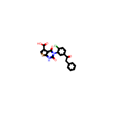 O=C(Cc1ccccc1)c1ccc(Cl)c(-n2c(=O)[nH]c3scc(C(=O)O)c3c2=O)c1